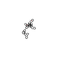 c1ccc2c(c1)-c1cccc3c1c-2cc1oc2ccc(-c4ccc5c(c4)c4ccccc4n5-c4nc(-c5ccc6ccccc6c5)nc(-c5ccc6ccccc6c5)n4)cc2c13